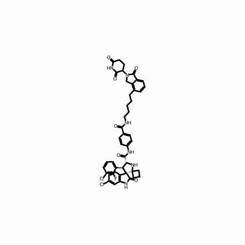 O=C1CCC(N2Cc3c(CCCCCNC(=O)c4ccc(NC(=O)[C@@H]5NC6(CCC6)[C@@]6(C(=O)Nc7cc(Cl)ccc76)[C@H]5c5cccc(Cl)c5F)cc4)cccc3C2=O)C(=O)N1